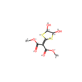 CC(C)OC(=O)C(C(=O)OC(C)C)=C1SC(O)C(O)S1